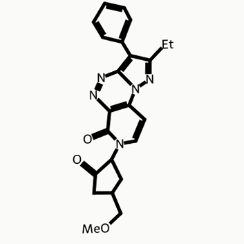 CCc1nn2c(nnc3c(=O)n(C4CC(COC)CC4=O)ccc32)c1-c1ccccc1